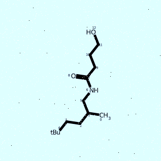 CC(CCC(C)(C)C)CNC(=O)CCCO